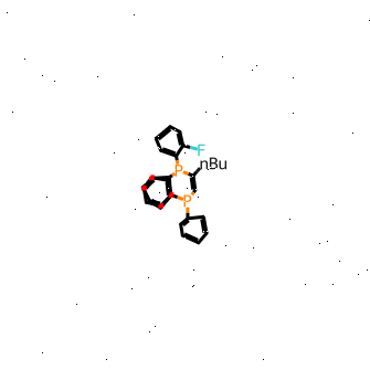 CCCC/C(=C/P(c1ccccc1)c1ccccc1)P(c1ccccc1)c1ccccc1F